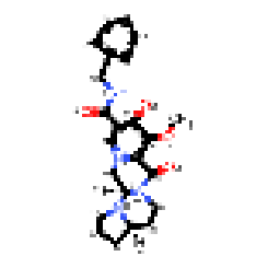 COc1c2n(cc(C(=O)NCc3ccccc3)c1=O)C[C@H]1N(CC[C@H]3CCCN31)C2=O